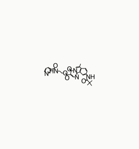 Cc1cn2c(=O)c(C(=O)OCCNC(=O)c3cccnc3)cnc2c2cc(NC(=O)C(C)(C)C)ccc12